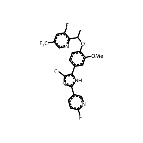 COc1cc(-c2[nH]c(-c3ccc(F)nc3)nc2Cl)ccc1OC(C)c1ncc(C(F)(F)F)cc1F